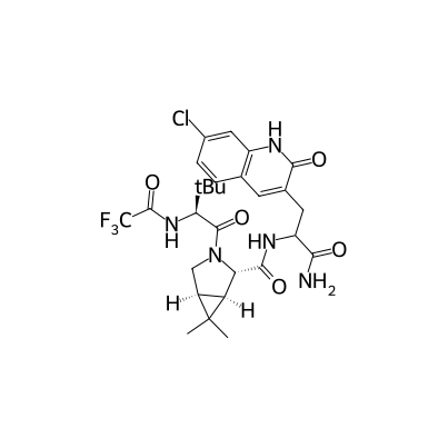 CC(C)(C)[C@H](NC(=O)C(F)(F)F)C(=O)N1C[C@H]2[C@@H]([C@H]1C(=O)NC(Cc1cc3ccc(Cl)cc3[nH]c1=O)C(N)=O)C2(C)C